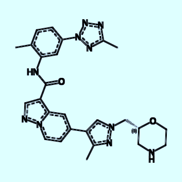 Cc1nnn(-c2ccc(C)c(NC(=O)c3cnn4ccc(-c5cn(C[C@H]6CNCCO6)nc5C)cc34)c2)n1